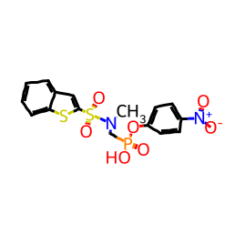 CN(CP(=O)(O)Oc1ccc([N+](=O)[O-])cc1)S(=O)(=O)c1cc2ccccc2s1